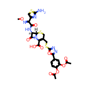 CON=C(C(=O)N[C@@H]1C(=O)N2C(C(=O)O)=C(CSc3nnc(-c4ccc(OC(C)=O)c(OC(C)=O)c4)o3)CS[C@@H]12)c1csc(N)n1